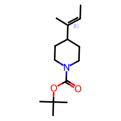 C/C=C(\C)C1CCN(C(=O)OC(C)(C)C)CC1